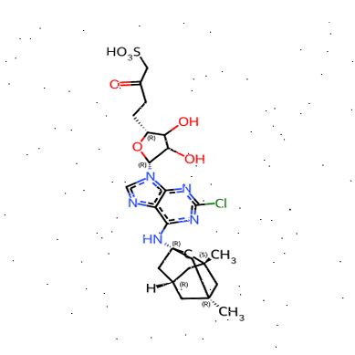 C[C@]12C[C@@H]3C[C@](C)(C1)C[C@@](Nc1nc(Cl)nc4c1ncn4[C@@H]1O[C@H](CCC(=O)CS(=O)(=O)O)C(O)C1O)(C3)C2